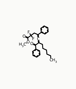 CCCCCCC(=C=C(CC(F)(F)C(=O)OC)c1ccccc1)C(=O)c1ccccc1